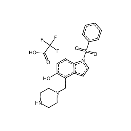 O=C(O)C(F)(F)F.O=S(=O)(c1ccccc1)n1ccc2c(CN3CCNCC3)c(O)ccc21